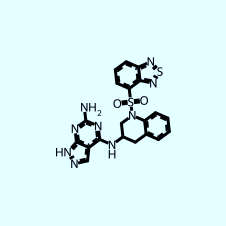 Nc1nc(NC2Cc3ccccc3N(S(=O)(=O)c3cccc4nsnc34)C2)c2cn[nH]c2n1